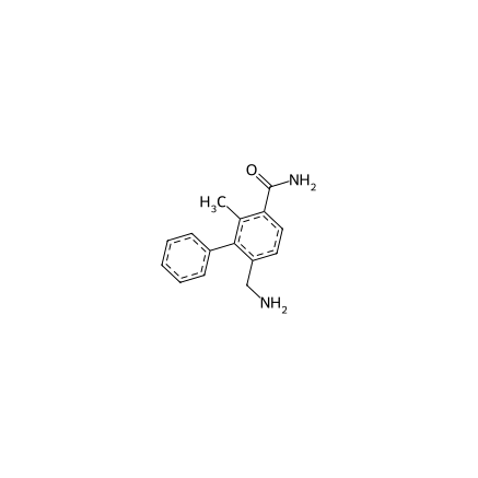 Cc1c(C(N)=O)ccc(CN)c1-c1ccccc1